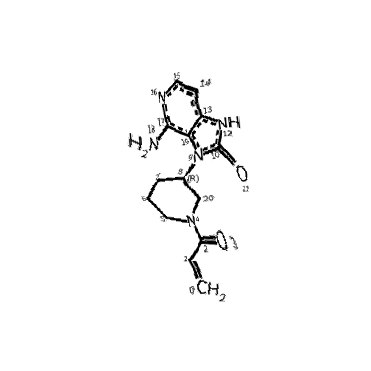 C=CC(=O)N1CCC[C@@H](n2c(=O)[nH]c3ccnc(N)c32)C1